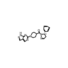 O=C(C1CCN(c2ncc3cn[nH]c3n2)CC1)N1N=CC[C@H]1c1ccccc1